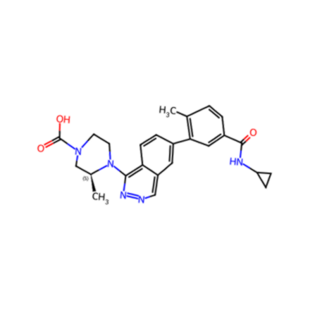 Cc1ccc(C(=O)NC2CC2)cc1-c1ccc2c(N3CCN(C(=O)O)C[C@@H]3C)nncc2c1